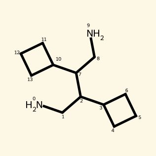 NCC(C1CCC1)C(CN)C1CCC1